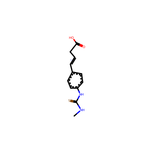 CNC(=S)Nc1ccc(/C=C/CC(=O)O)cc1